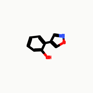 Oc1ccccc1-c1[c]noc1